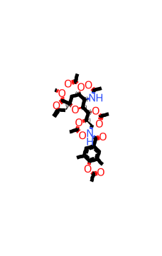 C=CC[C@]1(C(=O)OC)C[C@H](OC(C)=O)[C@@H](NC(C)=O)[C@@H]([C@H](OC(C)=O)[C@@H](CNC(=O)c2cc(C)c(OC(C)=O)c(C)c2)OC(C)=O)O1